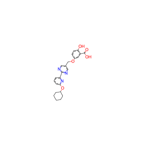 O=C(O)c1cc(OCc2cnc(-c3cccc(OC4CCCCC4)n3)nc2)ccc1O